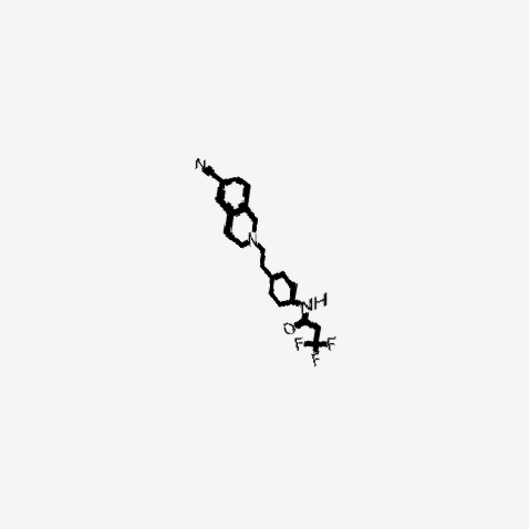 N#Cc1ccc2c(c1)CCN(CCC1CCC(NC(=O)CC(F)(F)F)CC1)C2